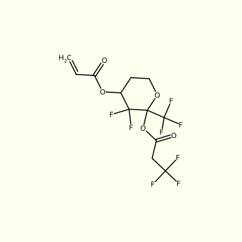 C=CC(=O)OC1CCOC(OC(=O)CC(F)(F)F)(C(F)(F)F)C1(F)F